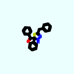 O=C(c1ccccc1)C1(c2ccccc2)NN=C(Cc2ccccc2)S1